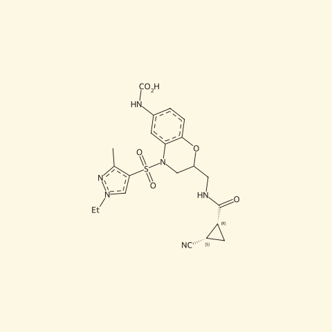 CCn1cc(S(=O)(=O)N2CC(CNC(=O)[C@@H]3C[C@@H]3C#N)Oc3ccc(NC(=O)O)cc32)c(C)n1